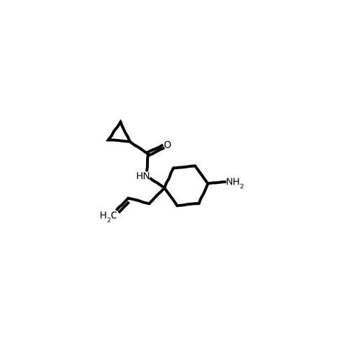 C=CCC1(NC(=O)C2CC2)CCC(N)CC1